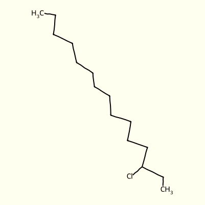 CCCCCCCCCCCCC(Cl)CC